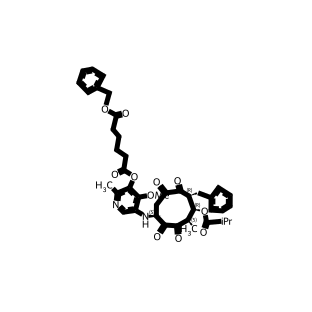 COc1c(N[C@H]2CC(=O)C(=O)[C@H](Cc3ccccc3)[C@H](OC(=O)C(C)C)[C@H](C)C(=O)C2=O)cnc(C)c1OC(=O)CCCCC(=O)OCc1ccccc1